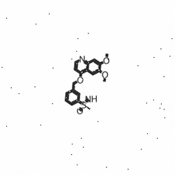 COc1cc2nccc(OCc3cccc([S@](C)(=N)=O)c3)c2cc1OC